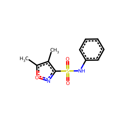 Cc1onc(S(=O)(=O)Nc2[c]cccc2)c1C